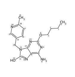 CCCCOc1nc(N)c2nc(O)n(Cc3ccc(C)nc3)c2n1